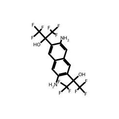 Nc1cc2cc(C(O)(C(F)(F)F)C(F)(F)F)c(N)cc2cc1C(O)(C(F)(F)F)C(F)(F)F